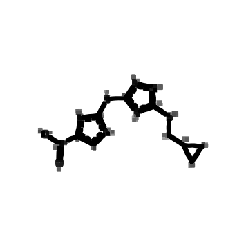 O=[N+]([O-])c1cnc(Sc2nnc(SCC3CC3)s2)s1